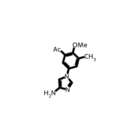 COc1c(C)cc(-n2cnc(N)c2)cc1C(C)=O